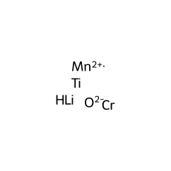 [Cr].[LiH].[Mn+2].[O-2].[Ti]